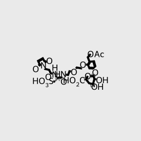 CC(=O)OCc1ccc(O[C@@H]2O[C@H](C(=O)O)C[C@H](O)C2O)cc1OCCOCCNC(=O)[C@H](CS(=O)(=O)O)NC(=O)CCN1C(=O)C=CC1=O